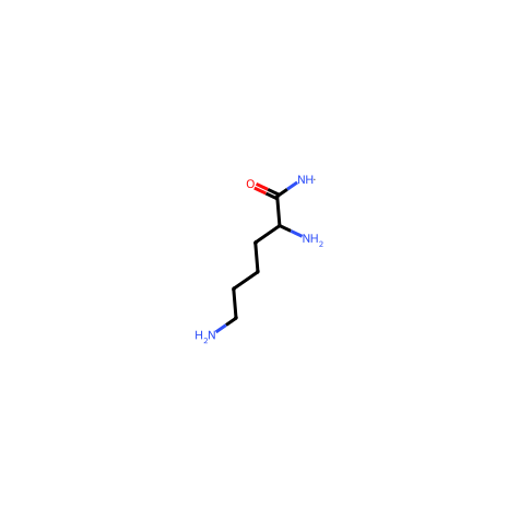 [NH]C(=O)C(N)CCCCN